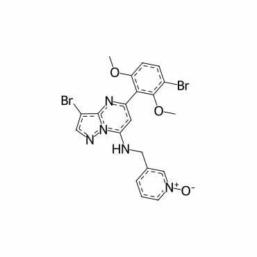 COc1ccc(Br)c(OC)c1-c1cc(NCc2ccc[n+]([O-])c2)n2ncc(Br)c2n1